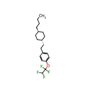 CCCC[C@H]1CC[C@H](CCc2ccc(OC(F)(F)C(F)F)cc2)CC1